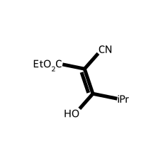 CCOC(=O)/C(C#N)=C(\O)C(C)C